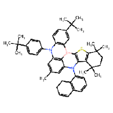 Cc1cc2c3c(c1)N(c1cccc4c1CCC=C4)c1c(sc4c1C(C)(C)CCC4(C)C)B3c1cc(C(C)(C)C)ccc1N2c1ccc(C(C)(C)C)cc1